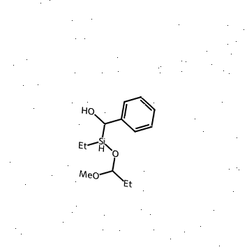 CCC(OC)O[SiH](CC)C(O)c1ccccc1